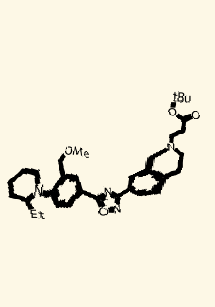 CCC1CCCCN1c1ccc(-c2nc(-c3ccc4c(c3)CN(CCC(=O)OC(C)(C)C)CC4)no2)cc1COC